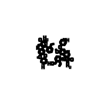 CCc1c(CO)cccc1Nc1c(C(N)=O)cnc2cc(OC3CCNCC3)c(OC)cc12.CCc1ccccc1Nc1c(C(N)=O)cnc2cc(OC)c(OC3CCNCC3)cc12